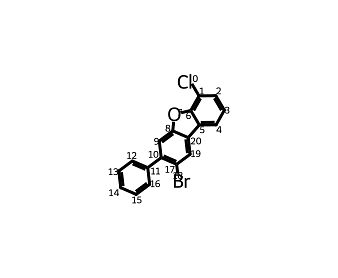 Clc1cccc2c1oc1cc(-c3ccccc3)c(Br)cc12